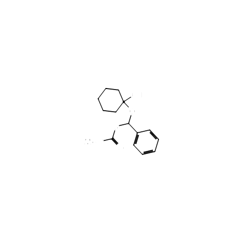 COC(=O)SC(OC1(C)CCCCC1)c1ccccc1